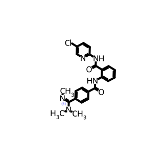 C/N=C(\c1ccc(C(=O)Nc2ccccc2C(=O)Nc2ccc(Cl)cn2)cc1)N(C)C